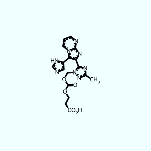 Cc1nc(-c2nc3ncccn3c2-c2cnc[nH]2)n(COC(=O)OCCC(=O)O)n1